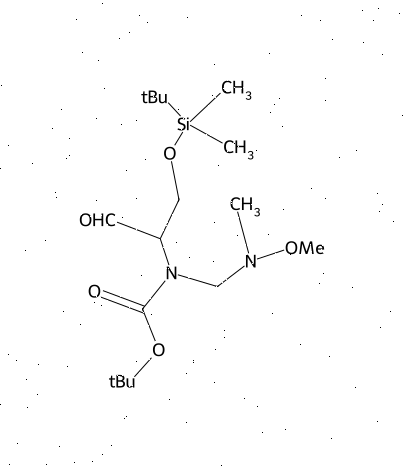 CON(C)CN(C(=O)OC(C)(C)C)C(C=O)CO[Si](C)(C)C(C)(C)C